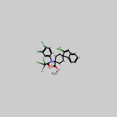 COC(=O)C1(N(C(=O)C(F)(F)F)c2ccc(F)c(Cl)c2)CCC2(CC1)C(Br)=Cc1ccccc12